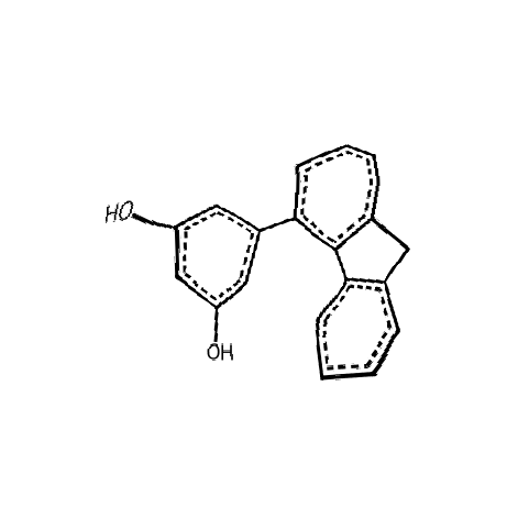 Oc1cc(O)cc(-c2cccc3c2-c2ccccc2C3)c1